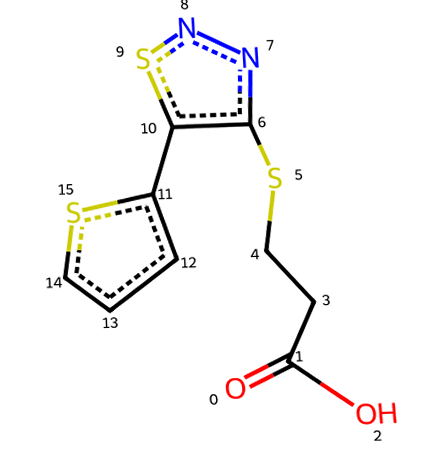 O=C(O)CCSc1nnsc1-c1cccs1